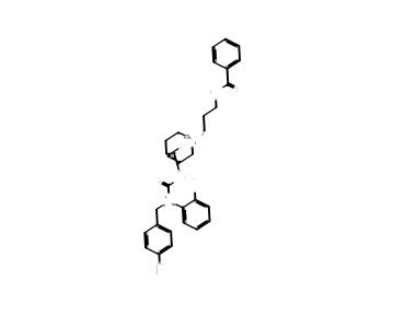 O=C(OCCC[N+]12CCC(CC1)C(OC(=O)N(Cc1ccc(F)cc1)c1ccccc1F)C2)c1ccccc1